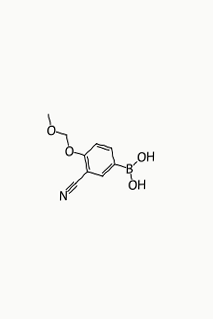 COCOc1ccc(B(O)O)cc1C#N